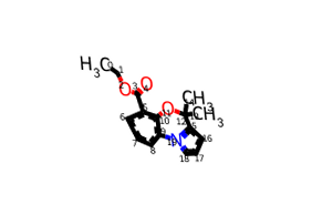 CCOC(=O)c1cccc2c1OC(C)(C)c1cccn1-2